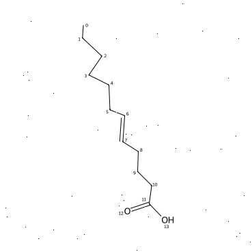 CCCCCC/C=C/CCCC(=O)O